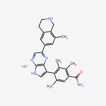 Cc1cc(-c2cnc3[nH]cc(-c4c(C)cc(C(N)=O)c(C)c4C)c3n2)cc2c1CNCC2.Cl